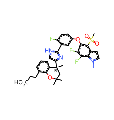 CC1(C)C[C@@](C)(c2c[nH]c(-c3cc(Oc4c(F)c(F)c5[nH]ccc5c4S(C)(=O)=O)ccc3F)n2)c2cccc(CCC(=O)O)c2O1